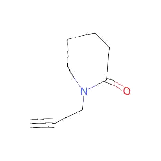 C#CCN1CCCCC1=O